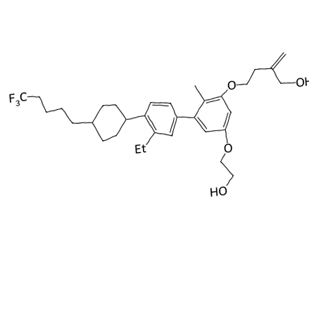 C=C(CO)CCOc1cc(OCCO)cc(-c2ccc(C3CCC(CCCCC(F)(F)F)CC3)c(CC)c2)c1C